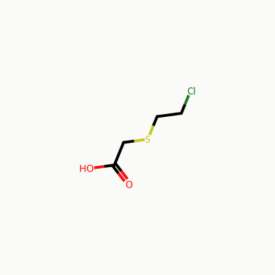 O=C(O)CSCCCl